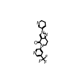 O=C1c2cn(C3=CCCN=C3)nc2CCN1c1cncc(C(F)(F)F)c1